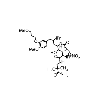 COCCCOc1cc(CC(CC(NC(=O)OCO[N+](=O)[O-])C(O)CC(C(=O)NCC(C)(C)C(N)=O)C(C)C)C(C)C)ccc1OC